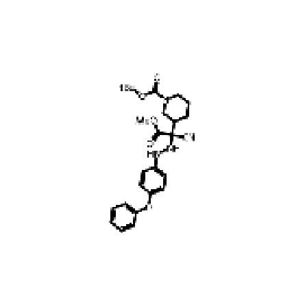 COC(=O)C(C#N)(NNc1ccc(Oc2ccccc2)cc1)C1CCCN(C(=O)OC(C)(C)C)C1